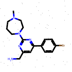 CN1CCCN(c2nc(CN)cc(-c3ccc(Br)cc3)n2)CC1